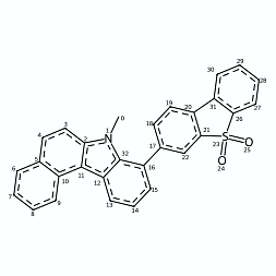 Cn1c2ccc3ccccc3c2c2cccc(-c3ccc4c(c3)S(=O)(=O)c3ccccc3-4)c21